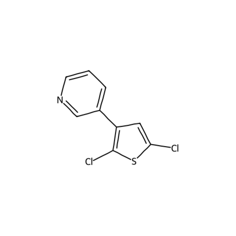 Clc1cc(-c2cccnc2)c(Cl)s1